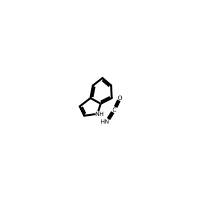 N=C=O.c1ccc2[nH]ccc2c1